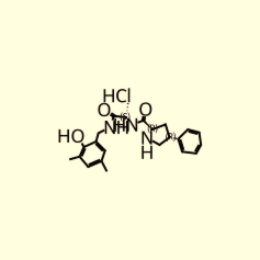 Cc1cc(C)c(O)c(CNC(=O)[C@H](C)NC(=O)[C@H]2C[C@H](c3ccccc3)CN2)c1.Cl